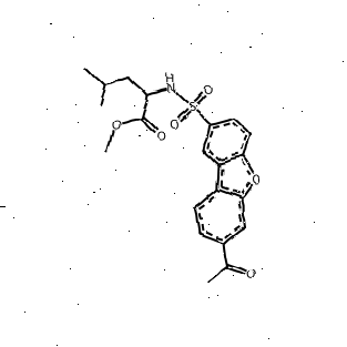 COC(=O)C(CC(C)C)NS(=O)(=O)c1ccc2oc3cc(C(C)=O)ccc3c2c1